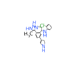 CC1=C2c3ccc(C4=CCNCC4)cc3C(Nc3ccccc3Cl)CCN2NN1